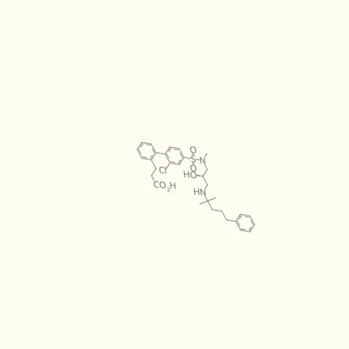 CN(C[C@H](O)CNC(C)(C)CCCc1ccccc1)S(=O)(=O)c1ccc(-c2ccccc2CCC(=O)O)c(Cl)c1